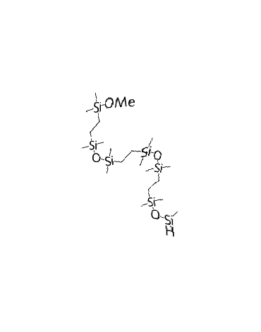 CO[Si](C)(C)CC[Si](C)(C)O[Si](C)(C)CC[Si](C)(C)O[Si](C)(C)CC[Si](C)(C)O[SiH](C)C